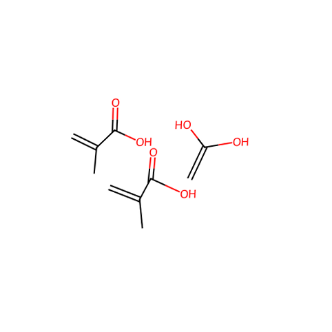 C=C(C)C(=O)O.C=C(C)C(=O)O.C=C(O)O